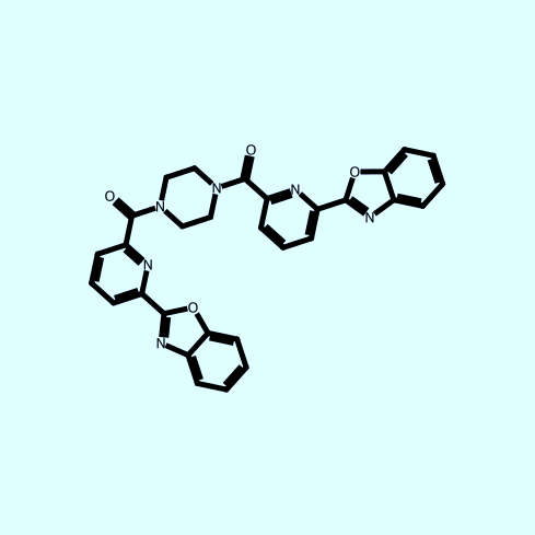 O=C(c1cccc(-c2nc3ccccc3o2)n1)N1CCN(C(=O)c2cccc(-c3nc4ccccc4o3)n2)CC1